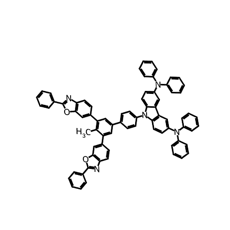 Cc1c(-c2ccc3nc(-c4ccccc4)oc3c2)cc(-c2ccc(-n3c4ccc(N(c5ccccc5)c5ccccc5)cc4c4cc(N(c5ccccc5)c5ccccc5)ccc43)cc2)cc1-c1ccc2nc(-c3ccccc3)oc2c1